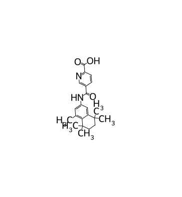 Cc1cc(NC(=O)c2ccc(C(=O)O)nc2)cc2c1C(C)(C)CCC2(C)C